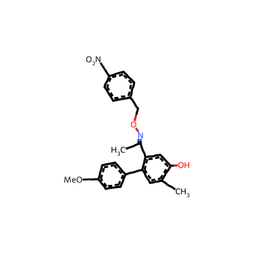 COc1ccc(-c2cc(C)c(O)cc2/C(C)=N/OCc2ccc([N+](=O)[O-])cc2)cc1